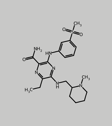 CCc1nc(C(N)=O)c(Nc2cccc(S(C)(=O)=O)c2)nc1NCC1CCCCN1C